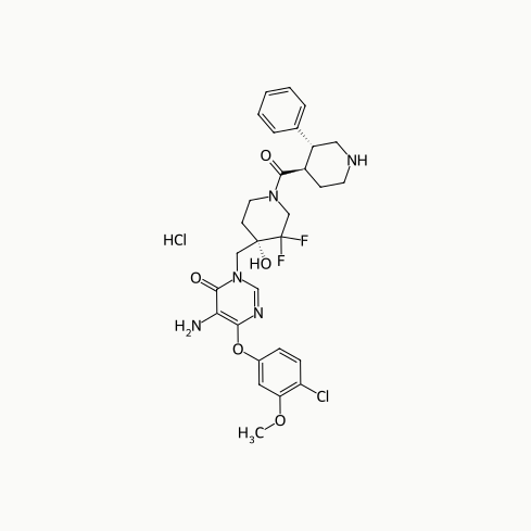 COc1cc(Oc2ncn(C[C@@]3(O)CCN(C(=O)[C@@H]4CCNC[C@H]4c4ccccc4)CC3(F)F)c(=O)c2N)ccc1Cl.Cl